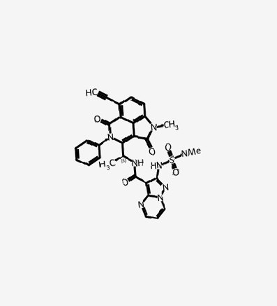 C#Cc1ccc2c3c(c([C@H](C)NC(=O)c4c(NS(=O)(=O)NC)nn5cccnc45)n(-c4ccccc4)c(=O)c13)C(=O)N2C